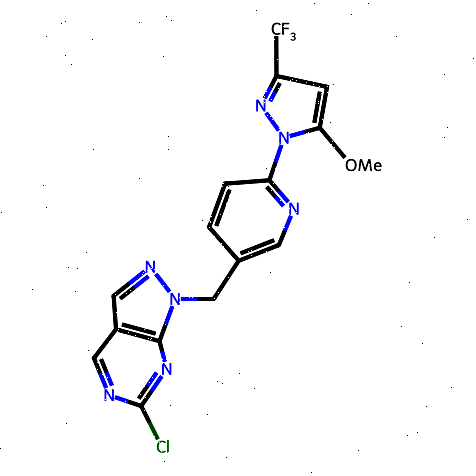 COc1cc(C(F)(F)F)nn1-c1ccc(Cn2ncc3cnc(Cl)nc32)cn1